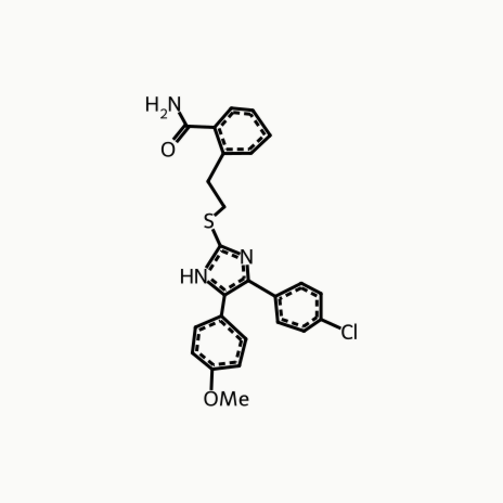 COc1ccc(-c2[nH]c(SCCc3ccccc3C(N)=O)nc2-c2ccc(Cl)cc2)cc1